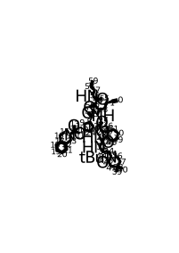 C#CCCC(NC(=O)[C@@H]1C[C@@H](OC(=O)N2CCc3ccccc3C2)CN1C(=O)[C@@H](NC(=O)N[C@H](CN1CCC(C)(C)CC1=O)C(C)(C)C)C1(C)CCCCC1)C(=O)C(=O)NCC=C